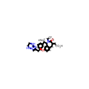 CCCCCCCCCC(c1ccccc1)C1c2cc(OCCc3cn4c(n3)NCCN4)ccc2CC(CC(=O)O)C(=O)N1CC(F)(F)F